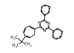 CC(C)(C)C1=CCC(c2nc(-c3ccccc3)nc(-c3ccccc3)n2)=CC=C1